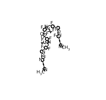 Cn1cc(C#Cc2cnc(COc3cccc(-c4cc(F)c(Cc5nc6c(F)cc(C(=O)OC(=O)c7cc(F)c8nc(Cc9cc(F)c(-c%10cccc(OCc%11ncc(C#Cc%12cnn(C)c%12)cc%11F)n%10)cc9F)n(CC9(CF)CC9)c8c7)cc6n5CC5(CF)CC5)cc4F)n3)c(F)c2)cn1